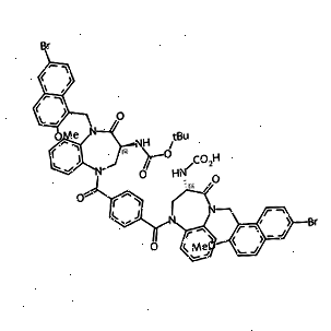 COc1ccc2cc(Br)ccc2c1CN1C(=O)[C@@H](NC(=O)O)CN(C(=O)c2ccc(C(=O)N3C[C@H](NC(=O)OC(C)(C)C)C(=O)N(Cc4c(OC)ccc5cc(Br)ccc45)c4ccccc43)cc2)c2ccccc21